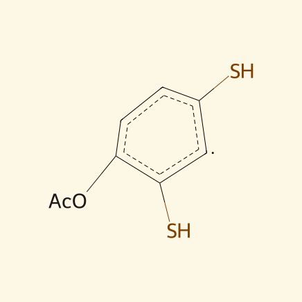 CC(=O)Oc1ccc(S)[c]c1S